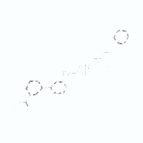 COC(=O)c1cccc(-c2cccc(NCCNC[C@@H](O)COc3ccccc3)c2)c1